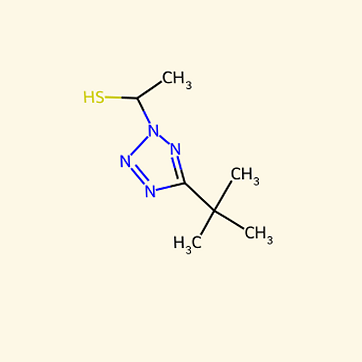 CC(S)n1nnc(C(C)(C)C)n1